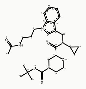 CC(=O)NCCCn1cc(CN(C(=O)[C@H]2CN(C(=O)OC(C)(C)C)CCO2)C2CC2)c2ccccc21